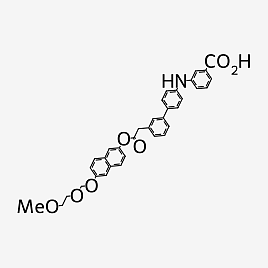 COCCOCOc1ccc2cc(OC(=O)Cc3cccc(-c4ccc(Nc5cccc(C(=O)O)c5)cc4)c3)ccc2c1